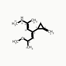 C=C1CC1C(=C/C(C)OC)/C=C(\C)NC